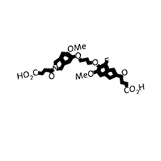 COc1cc2c(cc1OCCCOc1c(OC)cc3c(c1F)C=C(C(=O)CCC(=O)O)C3)CN(C(=O)CCC(=O)O)C2